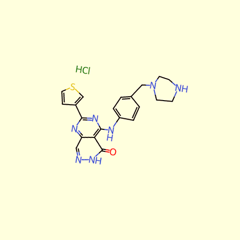 Cl.O=c1[nH]ncc2nc(-c3ccsc3)nc(Nc3ccc(CN4CCNCC4)cc3)c12